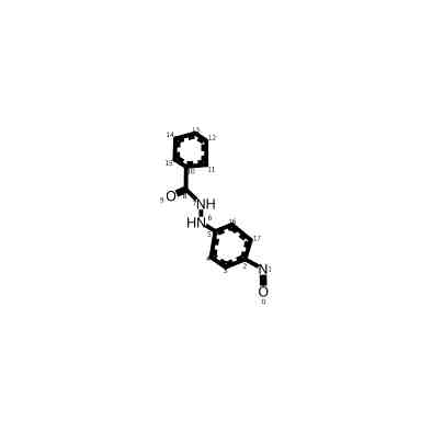 O=Nc1ccc(NNC(=O)c2ccccc2)cc1